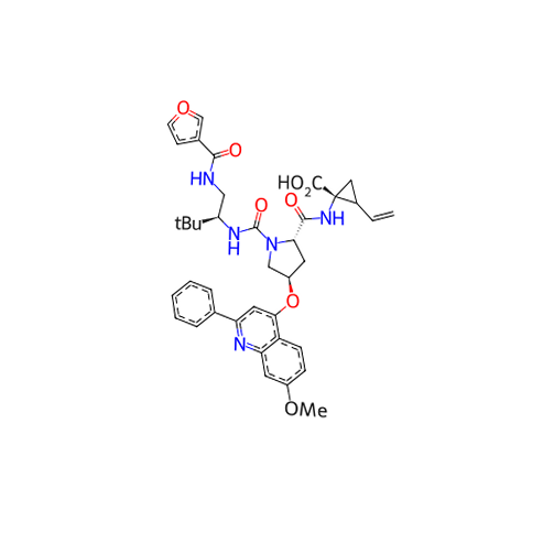 C=CC1C[C@]1(NC(=O)[C@@H]1C[C@@H](Oc2cc(-c3ccccc3)nc3cc(OC)ccc23)CN1C(=O)N[C@H](CNC(=O)c1ccoc1)C(C)(C)C)C(=O)O